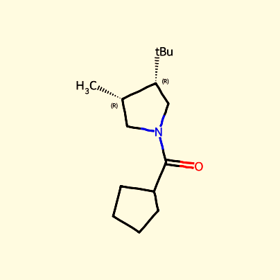 C[C@H]1CN(C(=O)C2CCCC2)C[C@H]1C(C)(C)C